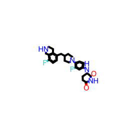 O=C1CCC(Nc2ccc(N3CCC(Cc4ccc(F)c5c4CCNC5)CC3)c(F)c2)C(=O)N1